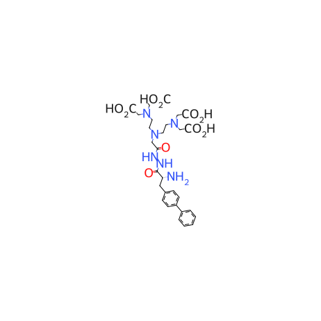 N[C@H](Cc1ccc(-c2ccccc2)cc1)C(=O)NNC(=O)CN(CCN(CC(=O)O)CC(=O)O)CCN(CC(=O)O)CC(=O)O